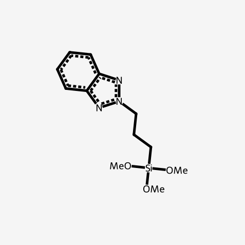 CO[Si](CCCn1nc2ccccc2n1)(OC)OC